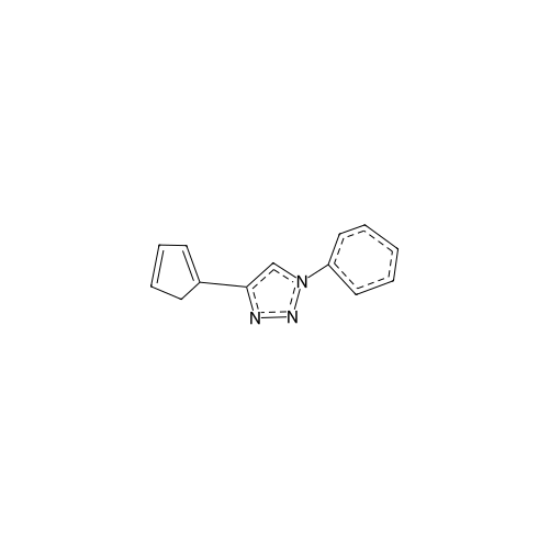 C1=CCC(c2cn(-c3ccccc3)nn2)=C1